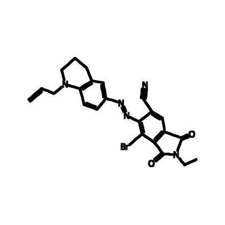 C=CCN1CCCc2cc(/N=N/c3c(C#N)cc4c(c3Br)C(=O)N(CC)C4=O)ccc21